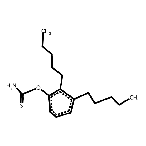 CCCCCc1cccc(OC(N)=S)c1CCCCC